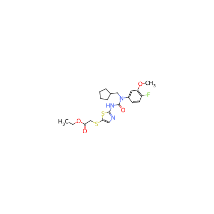 CCOC(=O)CSc1cnc(NC(=O)N(CC2CCCC2)c2ccc(F)c(OC)c2)s1